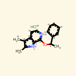 Cc1[nH]c2c(OC(C)c3ccccc3)nccc2c1C.Cl